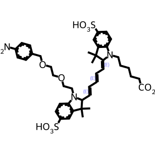 CC1(C)\C(=C/C=C/C=C/C2N(CCOCCOCc3ccc([N+](=O)[O-])cc3)c3ccc(S(=O)(=O)O)cc3C2(C)C)N(CCCCCC(=O)O)c2ccc(S(=O)(=O)O)cc21